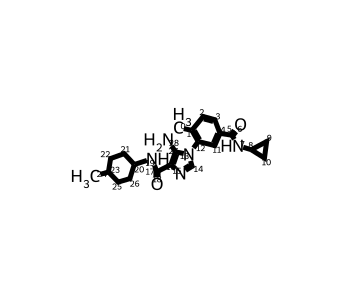 Cc1ccc(C(=O)NC2CC2)cc1-n1cnc(C(=O)NC2CCC(C)CC2)c1N